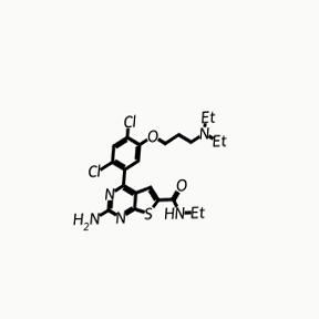 CCNC(=O)c1cc2c(-c3cc(OCCCN(CC)CC)c(Cl)cc3Cl)nc(N)nc2s1